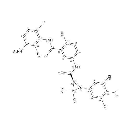 CC(=O)Nc1ccc(F)c(NC(=O)c2cc(NC(=O)[C@H]3[C@H](c4cc(Cl)c(Cl)c(Cl)c4)C3(Cl)Cl)ccc2Cl)c1F